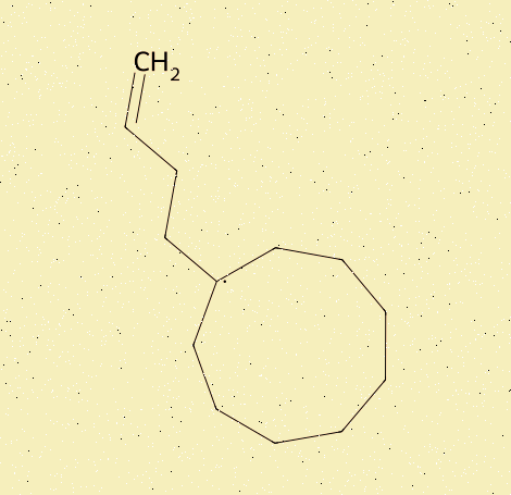 C=CCC[C]1CCCCCCCC1